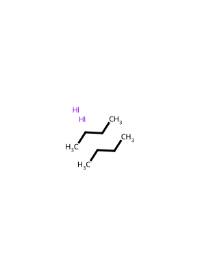 CCCC.CCCC.I.I